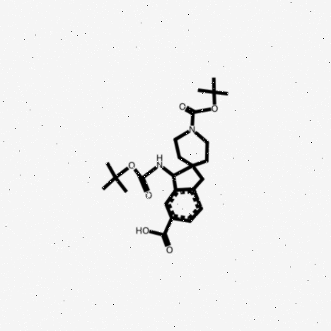 CC(C)(C)OC(=O)NC1c2cc(C(=O)O)ccc2CC12CCN(C(=O)OC(C)(C)C)CC2